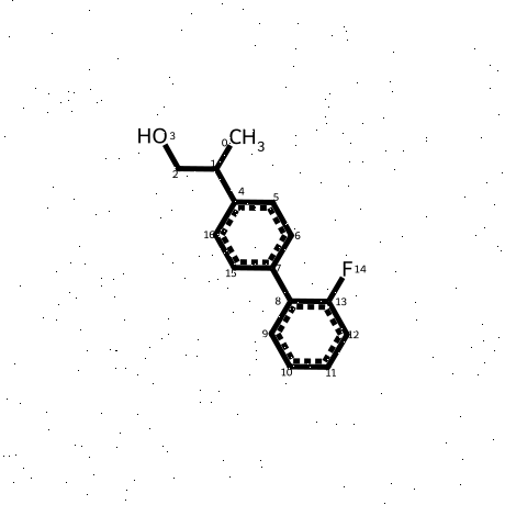 CC(CO)c1ccc(-c2ccccc2F)cc1